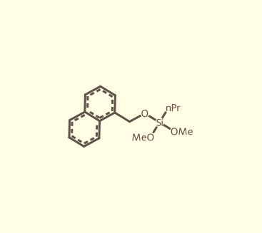 CCC[Si](OC)(OC)OCc1cccc2ccccc12